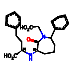 O=C(O)CN1C(=O)[C@@H](N[C@@H](CCc2ccccc2)C(=O)O)CCCC1c1ccccc1